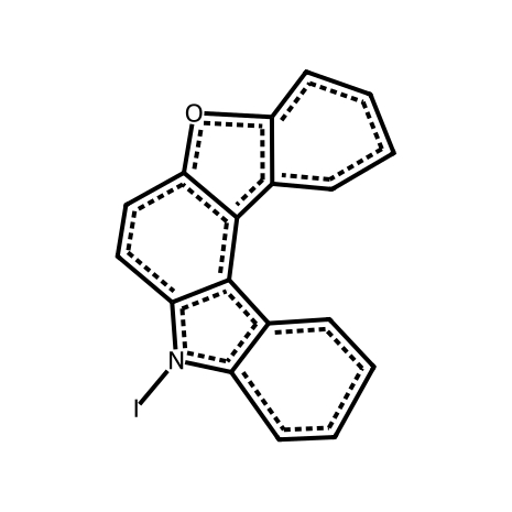 In1c2ccccc2c2c3c(ccc21)oc1ccccc13